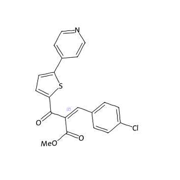 COC(=O)/C(=C\c1ccc(Cl)cc1)C(=O)c1ccc(-c2ccncc2)s1